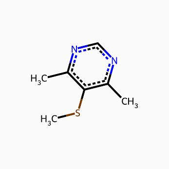 CSc1c(C)ncnc1C